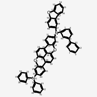 c1ccc(-c2cccc(N(c3ccc4c(c3)Oc3ccc5c6c(ccc-4c36)Oc3cc(N(c4ccccc4)c4ccccc4)ccc3-5)c3ccc4oc5ccccc5c4c3)c2)cc1